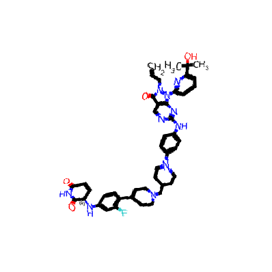 C=CCn1c(=O)c2cnc(Nc3ccc(N4CCC(CN5CCC(c6ccc(N[C@@H]7CCC(=O)NC7=O)cc6F)CC5)CC4)cc3)nc2n1-c1cccc(C(C)(C)O)n1